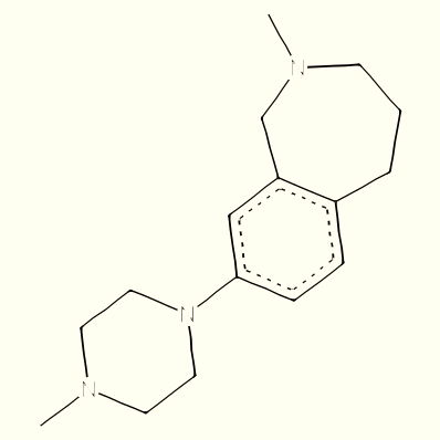 CN1CCN(c2ccc3c(c2)CN(C)CCC3)CC1